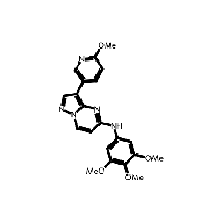 COc1ccc(-c2cnn3ccc(Nc4cc(OC)c(OC)c(OC)c4)nc23)cn1